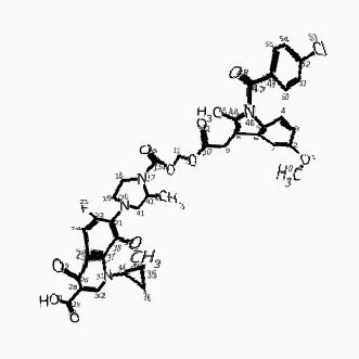 COc1ccc2c(c1)c(CC(=O)OCOC(=O)N1CCN(c3c(F)cc4c(=O)c(C(=O)O)cn(C5CC5)c4c3OC)CC1C)c(C)n2C(=O)c1ccc(Cl)cc1